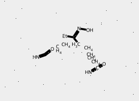 C.C.C.C.C.C.CCC(C)=NO.N=C=O.N=C=O